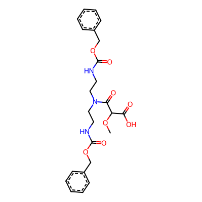 COC(C(=O)O)C(=O)N(CCNC(=O)OCc1ccccc1)CCNC(=O)OCc1ccccc1